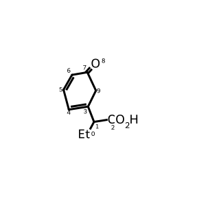 CCC(C(=O)O)C1=CC=CC(=O)C1